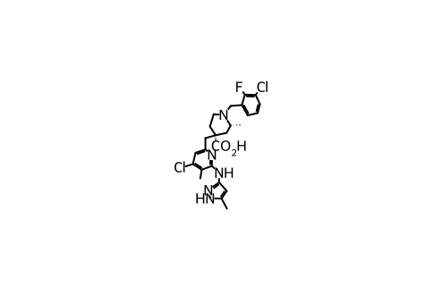 Cc1cc(Nc2nc(C[C@@]3(C(=O)O)CCN(Cc4cccc(Cl)c4F)[C@H](C)C3)cc(Cl)c2C)n[nH]1